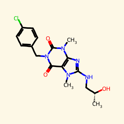 C[C@@H](O)CNc1nc2c(c(=O)n(Cc3ccc(Cl)cc3)c(=O)n2C)n1C